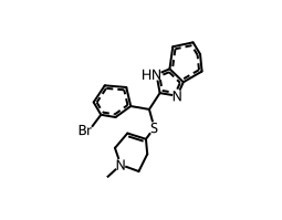 CN1CC=C(SC(c2cccc(Br)c2)c2nc3ccccc3[nH]2)CC1